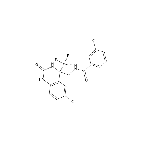 O=C1Nc2ccc(Cl)cc2C(CNC(=O)c2cccc(Cl)c2)(C(F)(F)F)N1